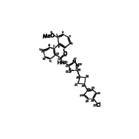 COc1ccccc1-c1cnccc1C(=O)Nc1nnc(C2CC(c3ccc(Cl)cc3)C2)s1